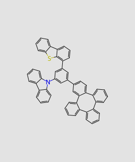 c1ccc2c(c1)-c1ccccc1-c1ccc(-c3cc(-c4cccc5c4sc4ccccc45)cc(-n4c5ccccc5c5ccccc54)c3)cc1-c1ccccc1-2